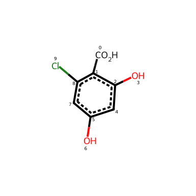 O=C(O)c1c(O)cc(O)cc1Cl